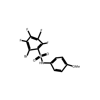 COc1ccc(NS(=O)(=O)c2c(F)c(F)c(F)c(F)c2Br)cc1